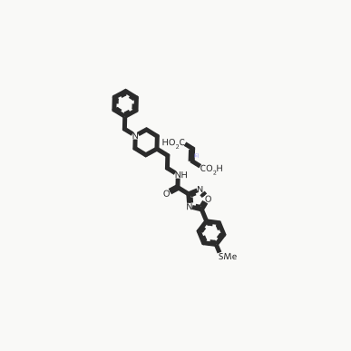 CSc1ccc(-c2nc(C(=O)NCCC3CCN(Cc4ccccc4)CC3)no2)cc1.O=C(O)/C=C/C(=O)O